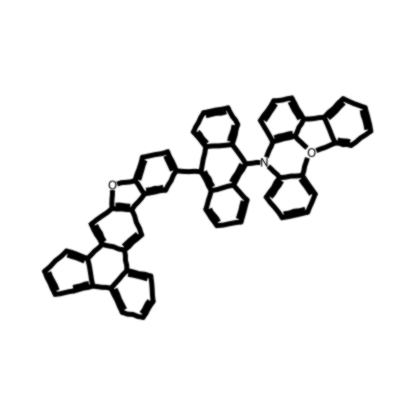 Cc1ccccc1N(c1c2ccccc2c(-c2ccc3oc4cc5c6ccccc6c6ccccc6c5cc4c3c2)c2ccccc12)c1cccc2c1oc1ccccc12